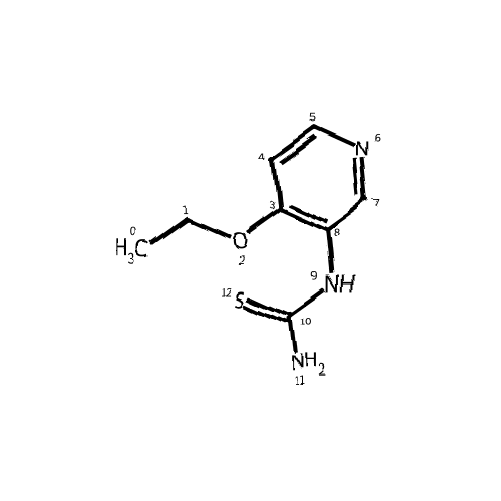 CCOc1ccncc1NC(N)=S